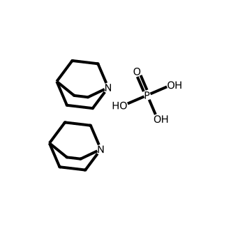 C1CN2CCC1CC2.C1CN2CCC1CC2.O=P(O)(O)O